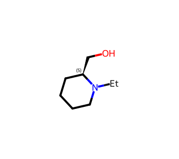 CCN1CCCC[C@H]1CO